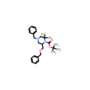 CC(C)(C)OC(=O)N1C(COCc2ccccc2)CN(Cc2ccccc2)CC1(C)C